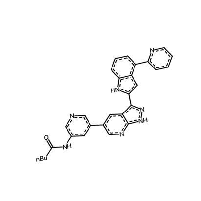 CCCCC(=O)Nc1cncc(-c2cnc3[nH]nc(-c4cc5c(-c6ccccn6)cccc5[nH]4)c3c2)c1